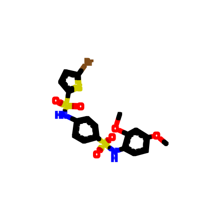 COc1ccc(NS(=O)(=O)c2ccc(NS(=O)(=O)c3ccc(Br)s3)cc2)c(OC)c1